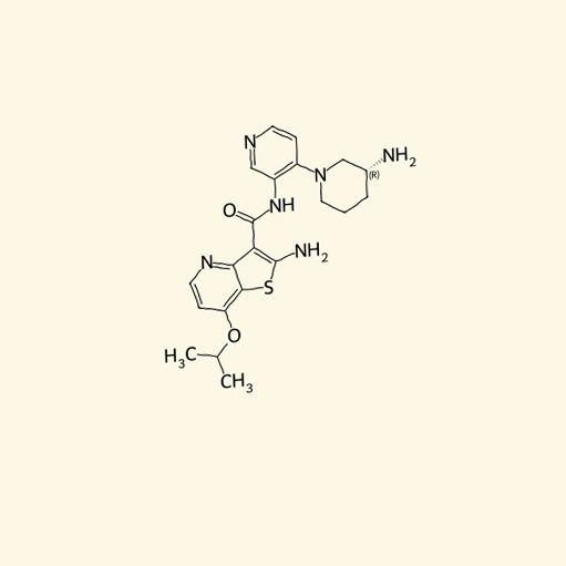 CC(C)Oc1ccnc2c(C(=O)Nc3cnccc3N3CCC[C@@H](N)C3)c(N)sc12